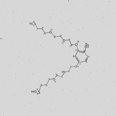 CCc1ccc(OCCOCCOCCCS(=O)(=O)O)cc1OCCOCCOCCCS(=O)(=O)O